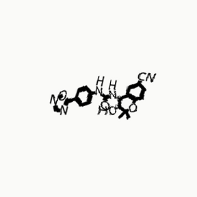 CC1(C)Oc2ccc(C#N)cc2[C@@H](NC(=O)Nc2ccc(-c3ncno3)cc2)[C@@H]1O